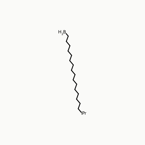 BCCCCCCCCCCCCCCCCC(C)C